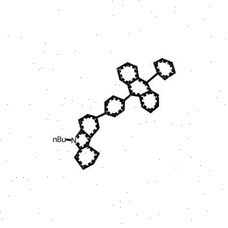 CCCCn1c2ccccc2c2cc(-c3ccc(-c4c5ccccc5c(-c5ccccc5)c5ccccc45)cc3)ccc21